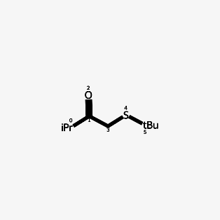 CC(C)C(=O)CSC(C)(C)C